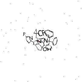 OC1(Cc2nc(CC3(C(F)(F)F)CC3)cn2C(c2ccccc2)(c2ccccc2)c2ccccc2)CCc2cc(-c3ccc(F)cn3)ccc21